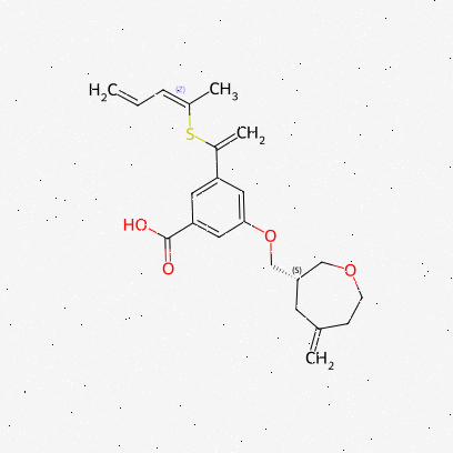 C=C/C=C(/C)SC(=C)c1cc(OC[C@@H]2COCCC(=C)C2)cc(C(=O)O)c1